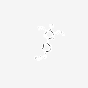 COc1ccc(-c2nc(C)c(Cl)c(O)n2)cc1